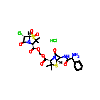 CC1(C)S[C@@H]2C(NC(=O)C(N)c3ccccc3)C(=O)N2[C@H]1C(=O)OCOC(=O)[C@@H]1N2C(=O)[C@H](Cl)[C@H]2S(=O)(=O)C1(C)C.Cl